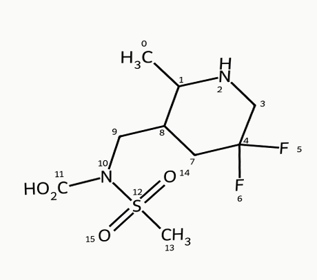 CC1NCC(F)(F)CC1CN(C(=O)O)S(C)(=O)=O